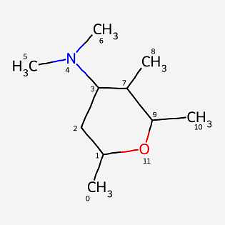 CC1CC(N(C)C)C(C)C(C)O1